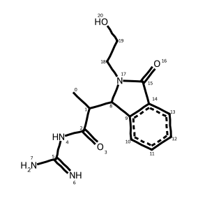 CC(C(=O)NC(=N)N)C1c2ccccc2C(=O)N1CCO